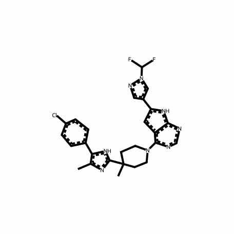 Cc1nc(C2(C)CCN(c3ncnc4[nH]c(-c5cnn(C(F)F)c5)cc34)CC2)[nH]c1-c1ccc(Cl)cc1